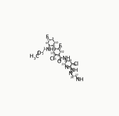 COCCNc1cc(F)ccc1-c1cc(Cl)c(C(=O)Nc2cnc(N/N=C\C=N)c(Cl)c2)cc1F